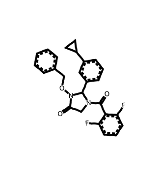 O=C(c1c(F)cccc1F)N1CC(=O)N(OCc2ccccc2)C1c1cccc(C2CC2)c1